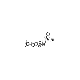 Cc1cc(-c2ccc3cc(S(=O)(=O)NC4CCC(C(=O)N5CCNCC5c5ccccc5)CC4)ccc3n2)cc(C)n1